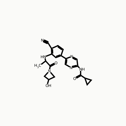 CC(Nc1cc(-c2cnc(NC(=O)C3CC3)cn2)ccc1C#N)C(=O)N1CC(O)C1